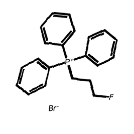 FCCC[P+](c1ccccc1)(c1ccccc1)c1ccccc1.[Br-]